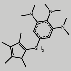 CC1=C(C)C(C)C([SiH2]c2cc(N(C)C)c(N(C)C)c(N(C)C)c2)=C1C